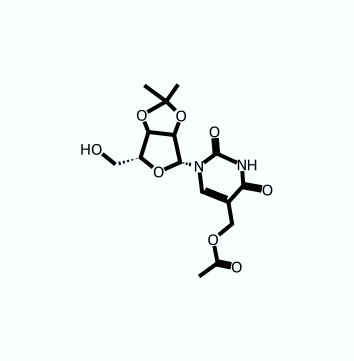 CC(=O)OCc1cn([C@@H]2O[C@H](CO)C3OC(C)(C)OC32)c(=O)[nH]c1=O